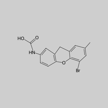 Cc1cc(Br)c2c(c1)Cc1cc(NC(=O)O)ccc1O2